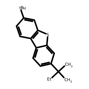 CCC(C)(C)c1ccc2c(c1)sc1cc(C(C)(C)C)ccc12